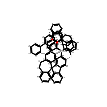 IC1CC2CCC3(c4ccccc4-c4cccc(N(c5ccc6c(c5)C5(c7ccccc7CCc7cc(-c8ccccc8-c8ccccc8)ccc75)c5ccccc5-6)c5ccccc5-c5ccccc5)c43)C(C1)C2